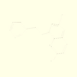 Fc1cc(OCc2ccccc2)c2nc(Cl)ccc2c1